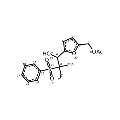 CC(=O)OCc1ccc(C(O)C(F)(F)S(=O)(=O)c2ccccc2)o1